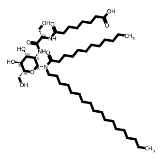 CCCCCCCCCCCCCCCCCCN(C(=O)CCCCCCCCCCC)[C@@H]1O[C@H](CO)[C@@H](O)[C@H](O)[C@@H]1NC(=O)[C@H](CO)NC(=O)CCCCCCC(=O)O